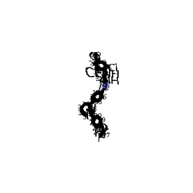 COc1cc(Cl)c(NC(=S)N/N=C/c2ccc(C3=NN(c4ccc(OC(F)(F)F)cc4)C=C=CC3)cc2)c(Cl)c1